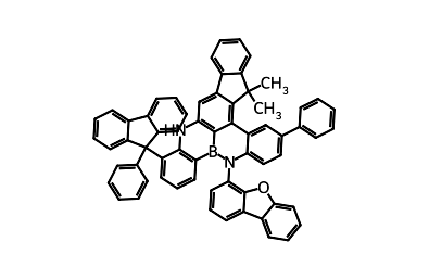 CC1(C)c2ccccc2-c2cc3c4c(c21)-c1cc(-c2ccccc2)ccc1N(c1cccc2c1oc1ccccc12)B4c1cccc(C2(c4ccccc4)c4ccccc4-c4ccccc42)c1N3